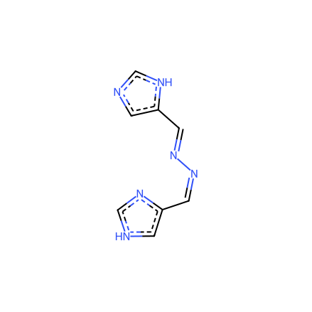 C(=N/N=C/c1cnc[nH]1)/c1c[nH]cn1